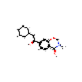 CCN1COc2cc(C(=O)CC3CCCCC3)ccc2C1=O